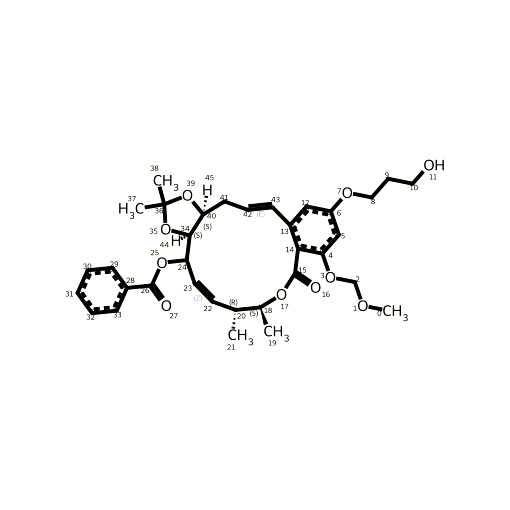 COCOc1cc(OCCCO)cc2c1C(=O)O[C@@H](C)[C@H](C)/C=C\C(OC(=O)c1ccccc1)[C@H]1OC(C)(C)O[C@H]1C/C=C/2